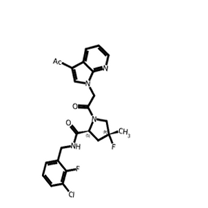 CC(=O)c1cn(CC(=O)N2C[C@](C)(F)C[C@H]2C(=O)NCc2cccc(Cl)c2F)c2ncccc12